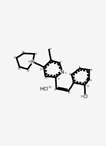 Cc1cnc(/C=C\c2ccccc2Cl)cc1N1CCCCC1.Cl